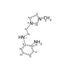 C[n+]1ccn(CCNc2ccccc2N)c1